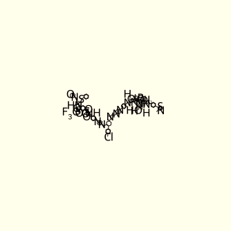 Cc1ncsc1-c1ccc([C@H](C)NC(=O)[C@@H]2C[C@@H](O)CN2C(=O)[C@@H](NC(=O)CNc2ccc(N3CCN(CCN(C)CC4(C)CCC(c5ccc(Cl)cc5)=C(CN5CCN(c6ccc(C(=O)NS(=O)(=O)c7ccc(N[C@H](CCN8CCOCC8)CSc8ccccc8)c(S(=O)(=O)C(F)(F)F)c7)cc6)CC5)C4)CC3)cc2)C(C)(C)C)cc1